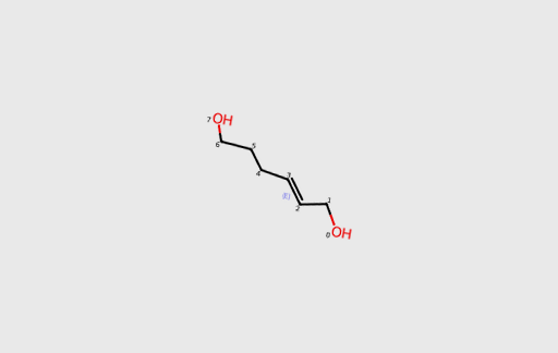 OC/C=C/CCCO